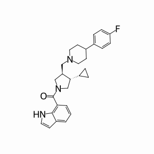 O=C(c1cccc2cc[nH]c12)N1C[C@@H](CN2CCC(c3ccc(F)cc3)CC2)[C@H](C2CC2)C1